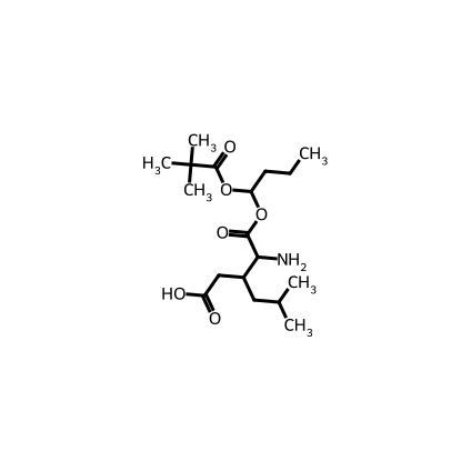 CCCC(OC(=O)C(N)C(CC(=O)O)CC(C)C)OC(=O)C(C)(C)C